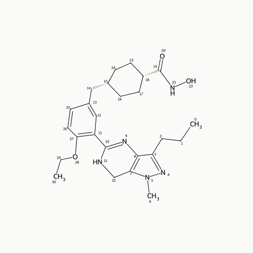 CCCc1nn(C)c2c1N=C(c1cc(C[C@H]3CC[C@@H](C(=O)NO)CC3)ccc1OCC)NC2